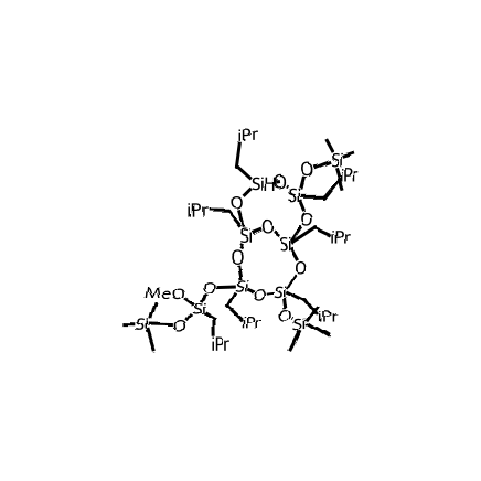 CO[Si](CC(C)C)(O[Si](C)(C)C)O[Si]1(CC(C)C)O[Si]2(CC(C)C)O[SiH](CC(C)C)O[Si](CC(C)C)(O[Si](C)(C)C)O[Si](CC(C)C)(O2)O[Si](CC(C)C)(O[Si](C)(C)C)O1